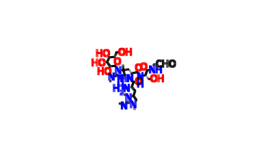 CN=C1N(C)CC(C[C@H](N)C(=O)N[C@H](CC2(C)CNC(=NC)N2[C@H]2O[C@H](CO)[C@@H](O)[C@H](O)[C@@H]2O)C(=O)N[C@@H](CO)C(=O)NC[C]=O)N1C